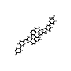 Cc1ccc(-c2ccc(OC(=O)COc3ccc4c(c3-c3c(OCC(=O)Oc5ccc(-c6ccc(C)cc6)cc5)ccc5c3CCCC5)CCCC4)cc2)cc1